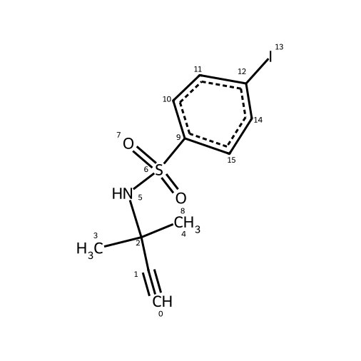 C#CC(C)(C)NS(=O)(=O)c1ccc(I)cc1